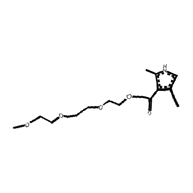 COCCOCCOCCOC(=O)c1c(C)c[nH]c1C